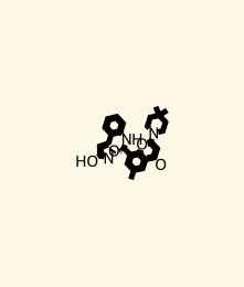 Cc1cc([C@@H](C)Nc2ccccc2-c2cc(O)no2)c2oc(N3CCC(C)(C)CC3)cc(=O)c2c1